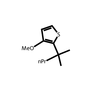 CCCC(C)(C)c1sccc1OC